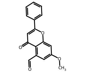 COc1cc(C=O)c2c(=O)cc(-c3ccccc3)oc2c1